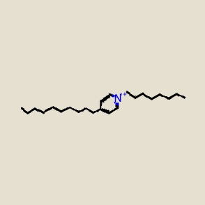 CCCCCCCCCCc1cc[n+](CCCCCCCC)cc1